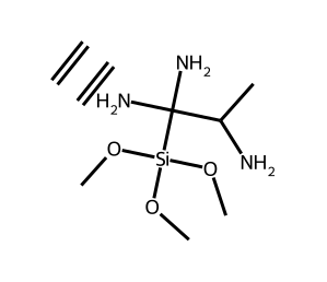 C=C.C=C.CO[Si](OC)(OC)C(N)(N)C(C)N